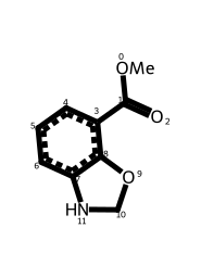 COC(=O)c1cccc2c1OCN2